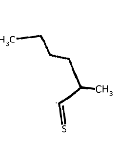 CCCCC(C)[C]=S